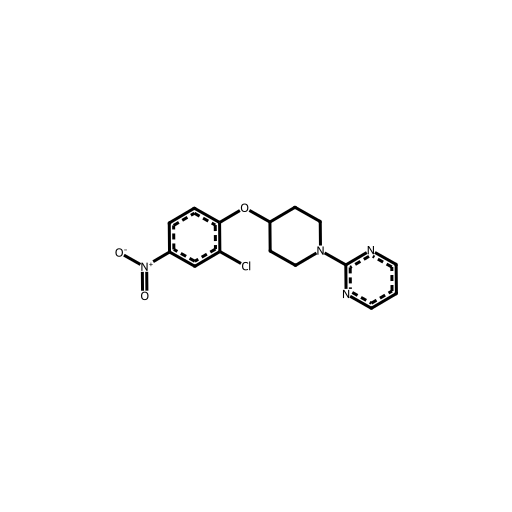 O=[N+]([O-])c1ccc(OC2CCN(c3ncccn3)CC2)c(Cl)c1